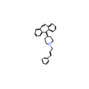 C(=Cc1ccccc1)CN1CCC(=C2c3ccccc3C=Cc3ccccc32)CC1